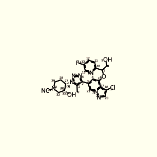 Cc1c(-c2cc(OC(CO)c3ccc(F)cn3)c3c(Cl)cnn3c2)nnn1[C@H]1CCN(C#N)C[C@H]1O